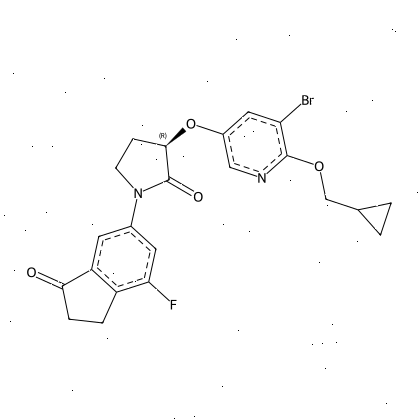 O=C1CCc2c(F)cc(N3CC[C@@H](Oc4cnc(OCC5CC5)c(Br)c4)C3=O)cc21